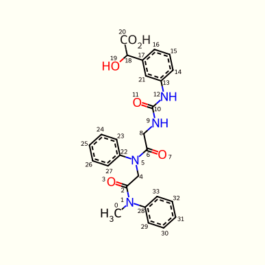 CN(C(=O)CN(C(=O)CNC(=O)Nc1cccc(C(O)C(=O)O)c1)c1ccccc1)c1ccccc1